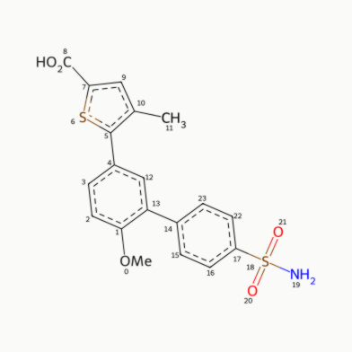 COc1ccc(-c2sc(C(=O)O)cc2C)cc1-c1ccc(S(N)(=O)=O)cc1